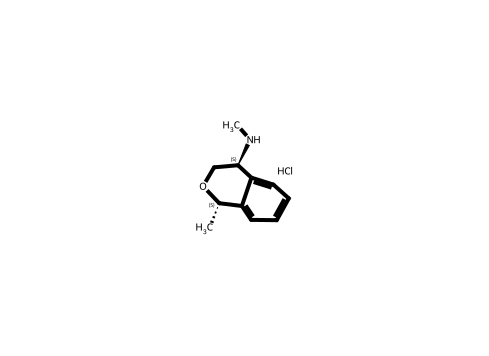 CN[C@@H]1CO[C@@H](C)c2ccccc21.Cl